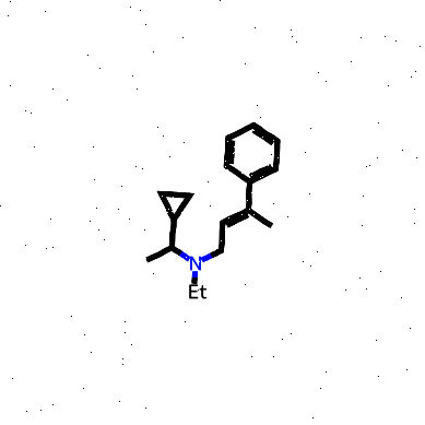 CCN(C/C=C(\C)c1ccccc1)C(C)C1CC1